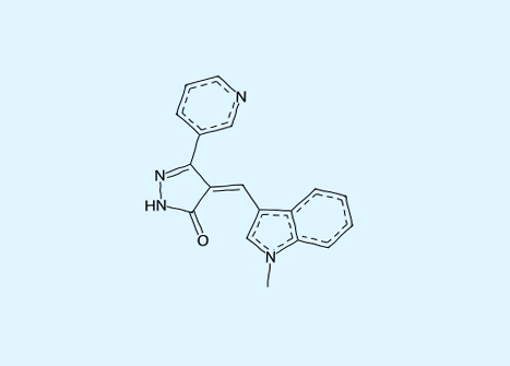 Cn1cc(C=C2C(=O)NN=C2c2cccnc2)c2ccccc21